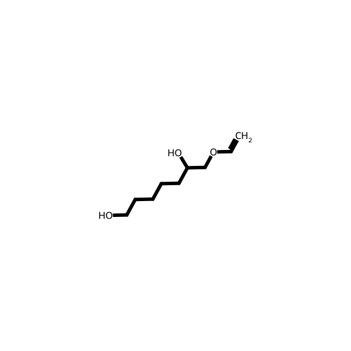 C=COCC(O)CCCCCO